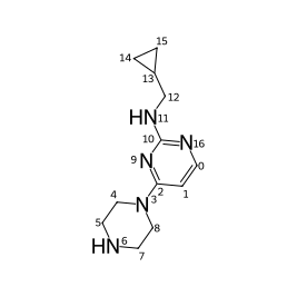 c1cc(N2CCNCC2)nc(NCC2CC2)n1